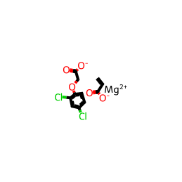 C=CC(=O)[O-].O=C([O-])COc1ccc(Cl)cc1Cl.[Mg+2]